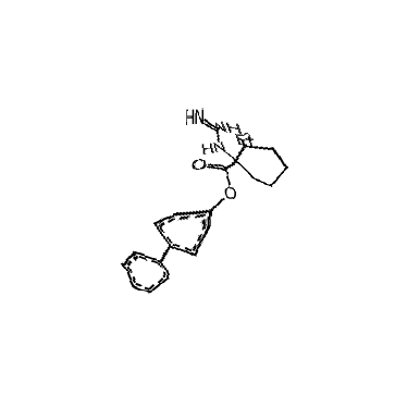 CCC1CCCCC1(NC(=N)N)C(=O)Oc1ccc(-c2ccccc2)cc1